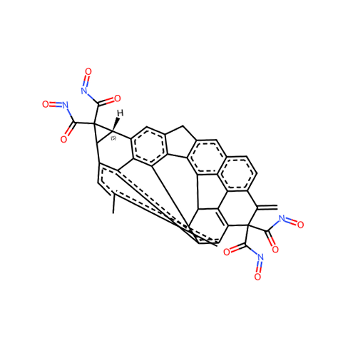 C=C1c2ccc3cc4c5c6c3c2C2=C(c3c(C)cc7c8c3C(c3c-5c(cc(c3-8)[C@@H]3C7C3(C(=O)N=O)C(=O)N=O)C4)C26)C1(C(=O)N=O)C(=O)N=O